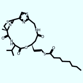 CCCCCCCC(=O)S/C=C/[C@@H]1CC(=O)NCc2nc(cs2)C2=N[C@@](C)(CS2)C(=O)NC(C(C)C)C(=O)O1